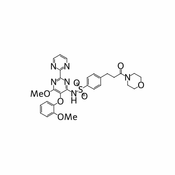 COc1ccccc1Oc1c(NS(=O)(=O)c2ccc(CCC(=O)N3CCOCC3)cc2)nc(-c2ncccn2)nc1OC